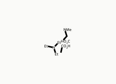 CC(=O)O.CCN(CC)CC.CNCC(=O)O